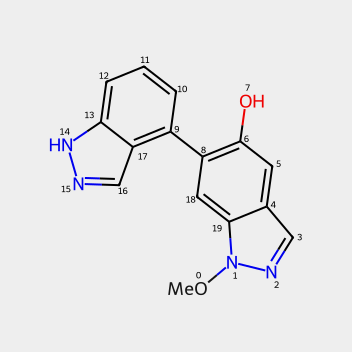 COn1ncc2cc(O)c(-c3cccc4[nH]ncc34)cc21